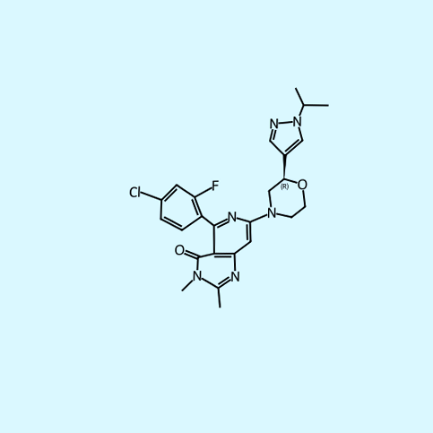 Cc1nc2cc(N3CCO[C@H](c4cnn(C(C)C)c4)C3)nc(-c3ccc(Cl)cc3F)c2c(=O)n1C